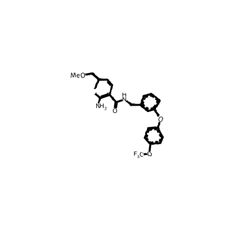 COCC(C)/C=C\C(C(=O)NCc1cccc(Oc2ccc(OC(F)(F)F)cc2)c1)=C(/C)N